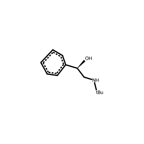 CC(C)(C)NC[C@H](O)c1ccccc1